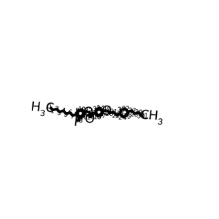 CCCCCCCCc1ccc(OC(=O)c2ccc(OCCCC3CCC(CCCCC)CC3)cc2)cc1F